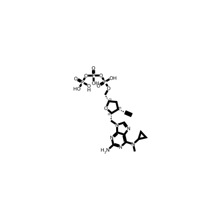 C#C[C@H]1C[C@@H](COP(=O)(O)OP(=O)(O)OP(=O)(O)O)O[C@H]1Cn1cnc2c(N(C)C3CC3)nc(N)nc21